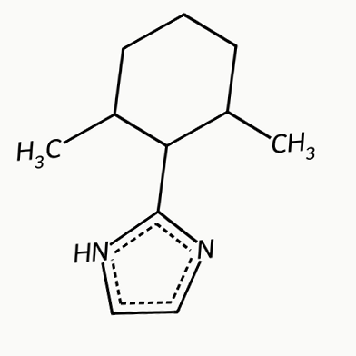 CC1CCCC(C)C1c1ncc[nH]1